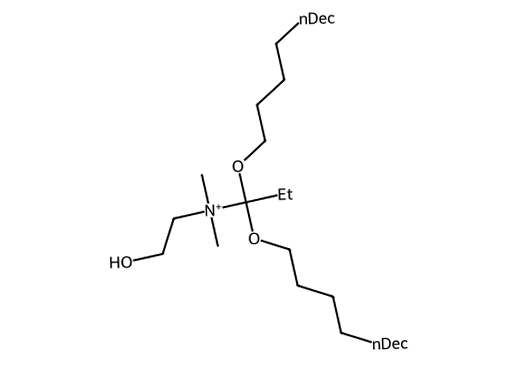 CCCCCCCCCCCCCCOC(CC)(OCCCCCCCCCCCCCC)[N+](C)(C)CCO